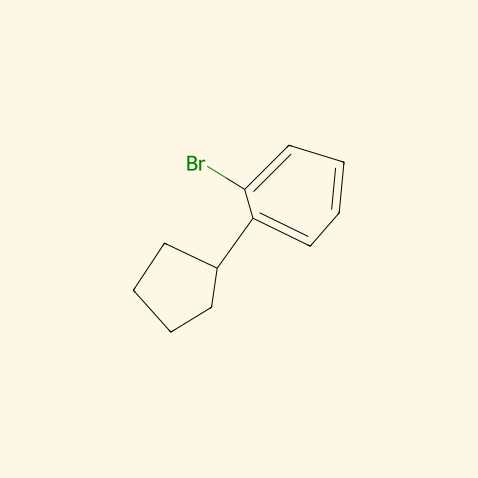 Brc1ccccc1C1CCCC1